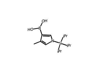 Cc1cn([Si](C(C)C)(C(C)C)C(C)C)cc1B(O)O